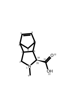 CN1CC2C3C=CC(C3)C2[C@H]1C(=O)O